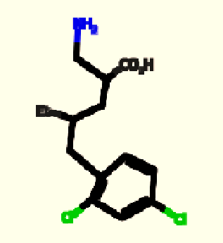 CCC(Cc1ccc(Cl)cc1Cl)CC(CN)C(=O)O